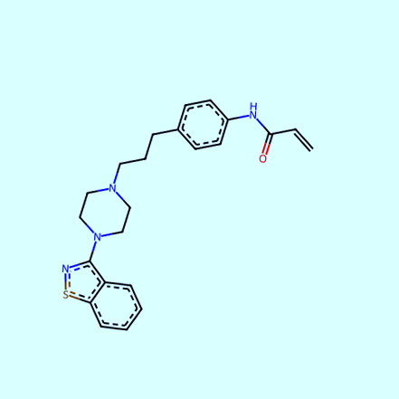 C=CC(=O)Nc1ccc(CCCN2CCN(c3nsc4ccccc34)CC2)cc1